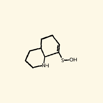 OSC1=CCCC2CCCNC12